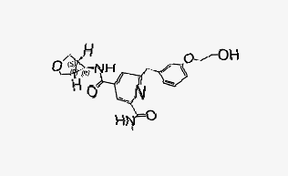 CNC(=O)c1cc(C(=O)N[C@H]2[C@@H]3COC[C@@H]32)cc(Cc2cccc(OCCO)c2)n1